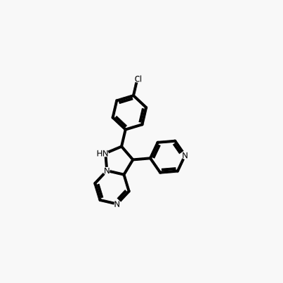 Clc1ccc(C2NN3C=CN=CC3C2c2ccncc2)cc1